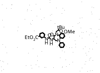 CCOC(=O)c1cccc(NC(=O)NC2CN(c3ccccc3)c3ccc(OC)cc3N(CC(=O)C(C)(C)C)C2=O)c1